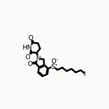 O=C1CCC(N2Cc3c(cccc3[S+]([O-])CCCCCCI)C2=O)C(=O)N1